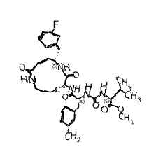 COC(=O)[C@@H](NC(=O)N[C@@H](Cc1cccc(C)c1)C(=O)N[C@H]1CCCCNC(=O)C=C[C@H](Cc2cccc(F)c2)NC1=O)C(C)C